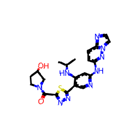 CC(C)Nc1cc(Nc2ccc3nccn3n2)ncc1-c1nnc(C(=O)N2CCC(O)C2)s1